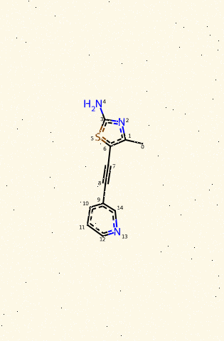 Cc1nc(N)sc1C#Cc1cccnc1